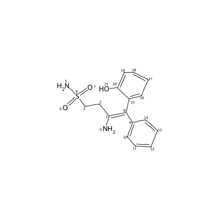 NC(CCS(N)(=O)=O)=C(c1ccccc1)c1ccccc1O